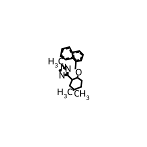 Cn1cnc(C2CC(C)(C)CCC2OCc2cccc3ccccc23)n1